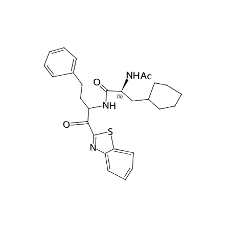 CC(=O)N[C@@H](CC1CCCCC1)C(=O)NC(CCc1ccccc1)C(=O)c1nc2ccccc2s1